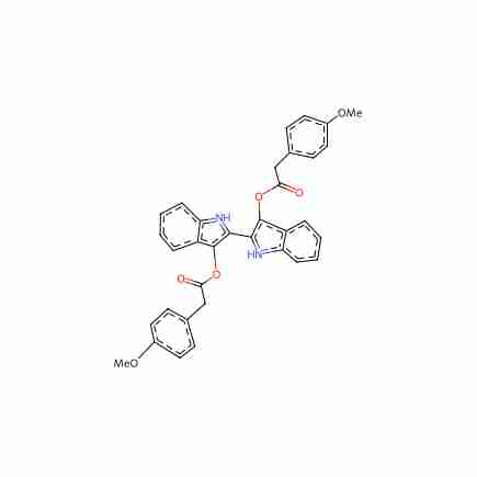 COc1ccc(CC(=O)Oc2c(-c3[nH]c4ccccc4c3OC(=O)Cc3ccc(OC)cc3)[nH]c3ccccc23)cc1